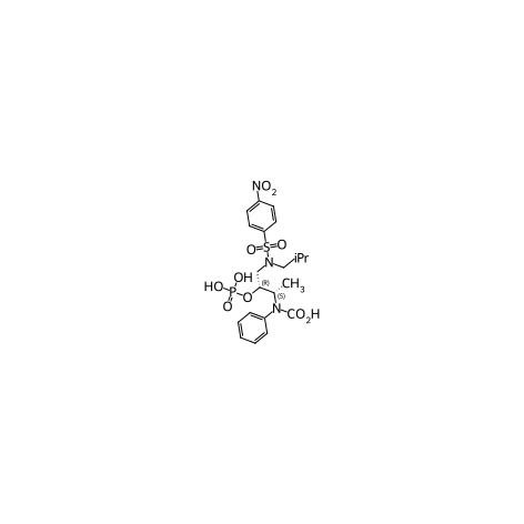 CC(C)CN(C[C@@H](OP(=O)(O)O)[C@H](C)N(C(=O)O)c1ccccc1)S(=O)(=O)c1ccc([N+](=O)[O-])cc1